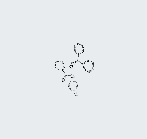 Cl.O=C(Cl)c1ccccc1Cl.O=C(c1ccccc1)c1ccccc1.c1ccccc1